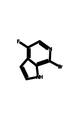 Fc1cnc(Br)c2[nH]ccc12